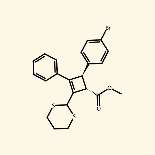 COC(=O)[C@@H]1C(C2SCCCS2)=C(c2ccccc2)[C@H]1c1ccc(Br)cc1